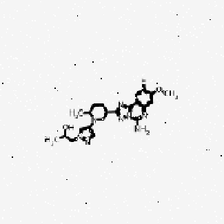 COc1cc2nc(N)n3nc(C4CCC(C)N(c5cnn(CC(C)O)c5)C4)nc3c2cc1F